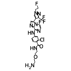 NCCOCCNC(=O)c1ccc(Nc2nccn3c(-c4cn(CCF)nc4C(F)(F)F)cnc23)cc1Cl